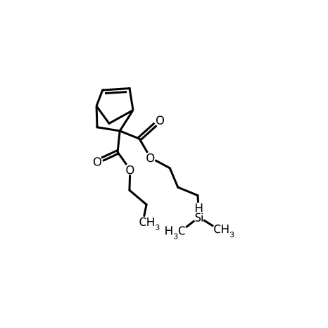 CCCOC(=O)C1(C(=O)OCCC[SiH](C)C)CC2C=CC1C2